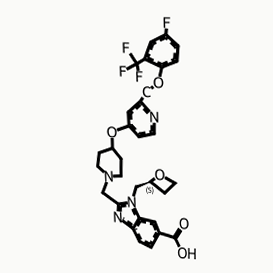 O=C(O)c1ccc2nc(CN3CCC(Oc4ccnc(COc5ccc(F)cc5C(F)(F)F)c4)CC3)n(C[C@@H]3CCO3)c2c1